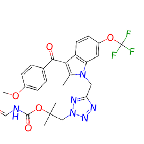 COc1ccc(C(=O)c2c(C)n(Cc3nnn(CC(C)(C)OC(=O)NC=O)n3)c3cc(OC(F)(F)F)ccc23)cc1